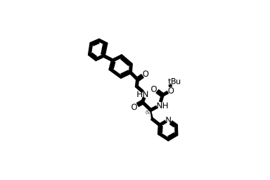 CC(C)(C)OC(=O)N[C@@H](Cc1ccccn1)C(=O)NCC(=O)c1ccc(-c2ccccc2)cc1